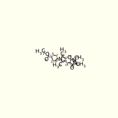 CCOC(=O)c1ccc(-n2c(C)cc(C=C3C(=O)N(C)N(C)C3=O)c2C)cc1